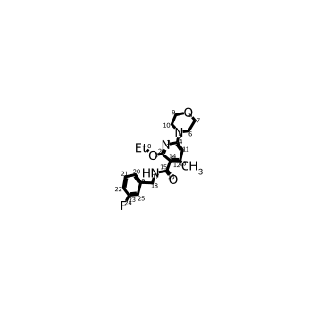 CCOc1nc(N2CCOCC2)cc(C)c1C(=O)NCc1cccc(F)c1